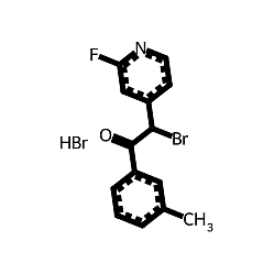 Br.Cc1cccc(C(=O)C(Br)c2ccnc(F)c2)c1